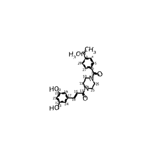 CN(C)c1ccc(C(=O)N2CCN(C(=O)/C=C/c3cc(O)cc(O)c3)CC2)cc1